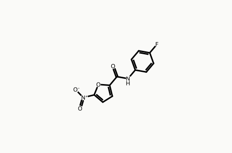 O=C(Nc1ccc(F)cc1)c1ccc([N+](=O)[O-])o1